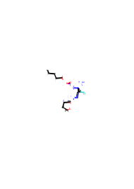 CCCCCOC(=O)NC(=N)/C(F)=C\N[C@H]1CC[C@@H](C)O1